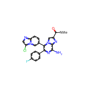 CNC(=O)c1cn2c(-c3ccc4ncc(Cl)n4c3)c(-c3ccc(F)cc3)nc(N)c2n1